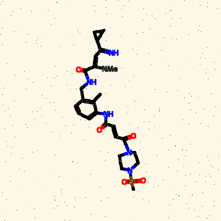 CN/C(=C\C(=N)C1CC1)C(=O)NCc1cccc(NC(=O)/C=C/C(=O)N2CCN(S(C)(=O)=O)CC2)c1C